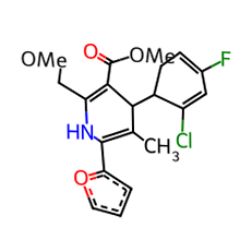 COCC1=C(C(=O)OC)C(C2CC=C(F)C=C2Cl)C(C)=C(c2ccco2)N1